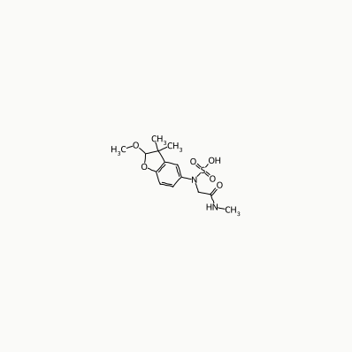 CNC(=O)CN(c1ccc2c(c1)C(C)(C)C(OC)O2)S(=O)(=O)O